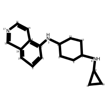 c1cc(NC2CCC(NC3CC3)CC2)c2ccncc2c1